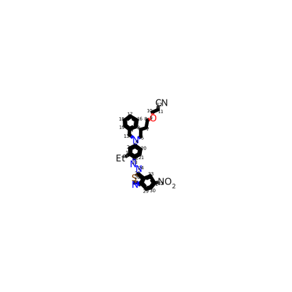 CCc1cc(N(CCCCOCCC#N)Cc2ccccc2)ccc1N=Nc1snc2ccc([N+](=O)[O-])cc12